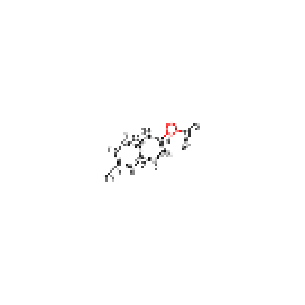 C=C(C)Oc1ccc2cc(C)ccc2c1